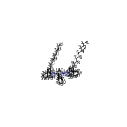 CCCCCCCCCCCCN1/C(=C/C=C2\CCC(/C=C/C3=[N+](CCCCCCCCCCCC)c4ccccc4C3(C)C)=C2N2CCCCC2)C(C)(C)c2ccccc21